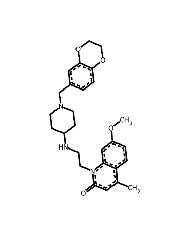 COc1ccc2c(C)cc(=O)n(CCNC3CCN(Cc4ccc5c(c4)OCCO5)CC3)c2c1